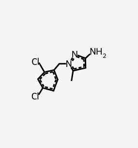 Cc1cc(N)nn1Cc1ccc(Cl)cc1Cl